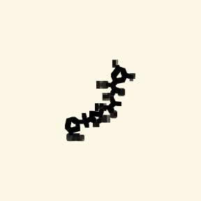 COc1cccc(C(C)(C)c2cc(NC(=O)C(C)NC(=O)C(O)c3cc(F)cc(F)c3)[nH]n2)c1